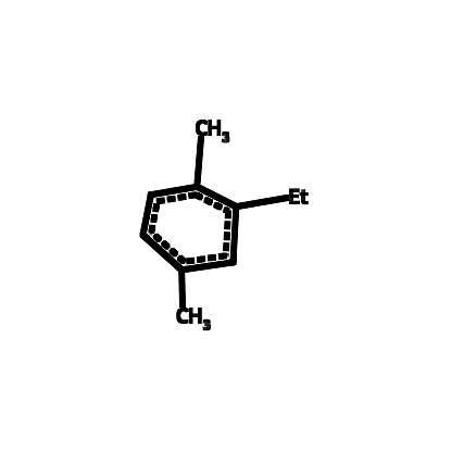 [CH2]Cc1cc(C)ccc1C